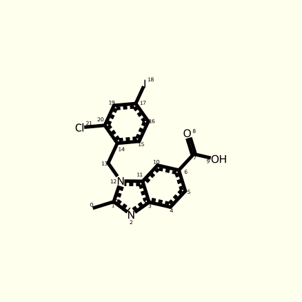 Cc1nc2ccc(C(=O)O)cc2n1Cc1ccc(I)cc1Cl